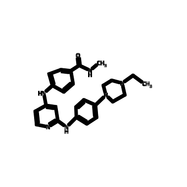 CCN1CCN(c2ccc(Nc3cc(Nc4ccc(C(=O)NC)cc4)ccn3)cc2)CC1